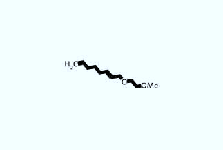 C=CCCCC=CCOCCOC